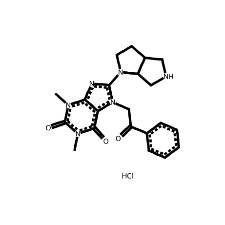 Cl.Cn1c(=O)c2c(nc(N3CCC4CNCC43)n2CC(=O)c2ccccc2)n(C)c1=O